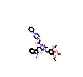 CCOc1cc(CN(C(C)=O)C(=O)C(Cc2c[nH]c3ccccc23)NC(=O)CN2CCN(C3CCCCC3)CC2)cc(OCC)c1OCC